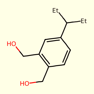 CCC(CC)c1ccc(CO)c(CO)c1